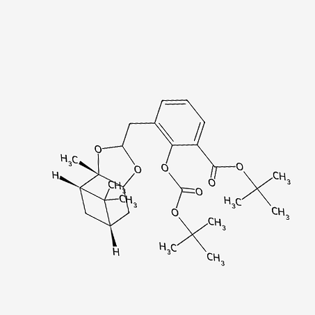 CC(C)(C)OC(=O)Oc1c(CC2OC3C[C@@H]4C[C@@H](C4(C)C)[C@]3(C)O2)cccc1C(=O)OC(C)(C)C